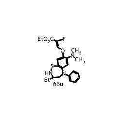 CCCC[C@@]1(CC)CN(c2ccccc2)c2cc(N(C)C)c(O/C=C(\F)C(=O)OCC)cc2SN1